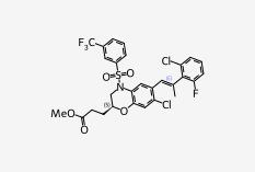 COC(=O)CC[C@H]1CN(S(=O)(=O)c2cccc(C(F)(F)F)c2)c2cc(/C=C(\C)c3c(F)cccc3Cl)c(Cl)cc2O1